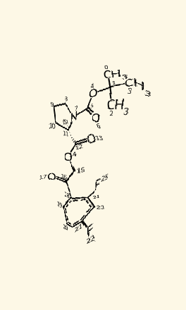 CC(C)(C)OC(=O)N1CCC[C@H]1C(=O)OCC(=O)c1ccc(F)cc1F